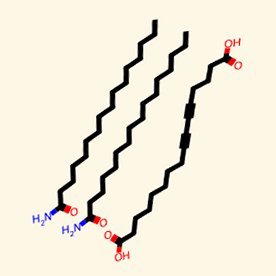 CCCCCCCCCCCCCCCC(N)=O.CCCCCCCCCCCCCCCC(N)=O.O=C(O)CCCC#CC#CCCCCCCCC(=O)O